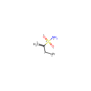 C=C(CCCC)S(N)(=O)=O